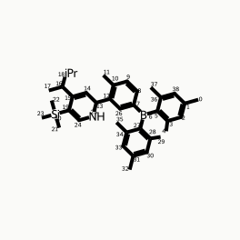 Cc1cc(C)c(B(c2ccc(C)c(C3C=C(C(C)C(C)C)C([Si](C)(C)C)=CN3)c2)c2c(C)cc(C)cc2C)c(C)c1